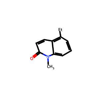 CCc1cccc2c1ccc(=O)n2C